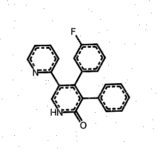 O=c1[nH]cc(-c2ccccn2)c(-c2cccc(F)c2)c1-c1ccccc1